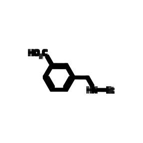 CCNCc1cccc(C(=O)O)c1